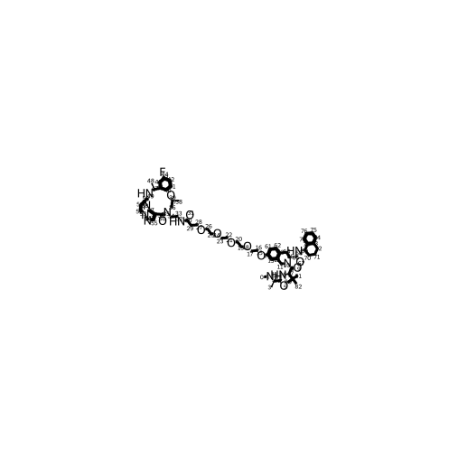 CN[C@H](C)C(=O)N[C@@H](C(=O)N1Cc2cc(OCCOCCOCCOCCOCCC(=O)NCCN3C[C@H](C)Oc4ccc(F)cc4[C@H](C)Nc4ccn5ncc(c5n4)C3=O)ccc2C[C@@H]1C(=O)N[C@H]1CCCc2ccccc21)C(C)(C)C